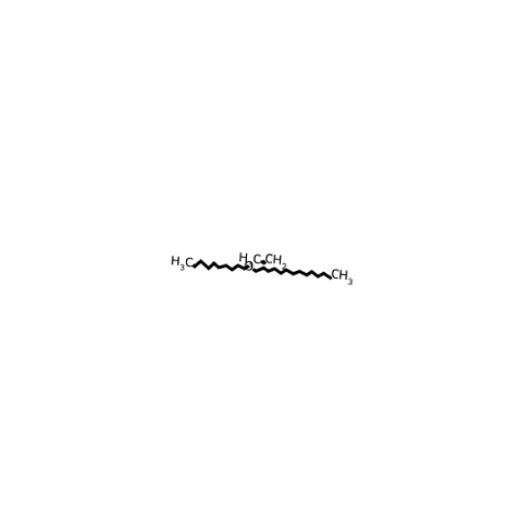 C=CC.CCCCCCCCCCCCCCOCCCCCCCCCC